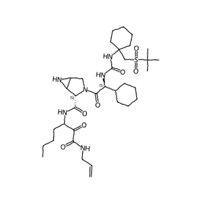 C=CCNC(=O)C(=O)C(CCCC)NC(=O)[C@@H]1C2NC2CN1C(=O)[C@@H](NC(=O)NC1(CS(=O)(=O)C(C)(C)C)CCCCC1)C1CCCCC1